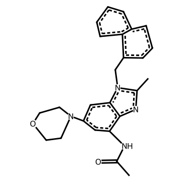 CC(=O)Nc1cc(N2CCOCC2)cc2c1nc(C)n2Cc1cccc2ccccc12